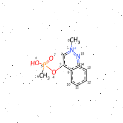 C[n+]1cc(OP(C)(=O)O)c2ccccc2n1